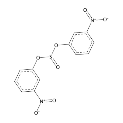 O=[N+]([O-])c1cccc(OS(=O)Oc2cccc([N+](=O)[O-])c2)c1